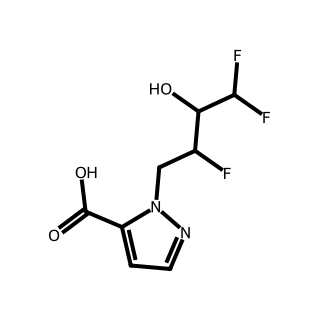 O=C(O)c1ccnn1CC(F)C(O)C(F)F